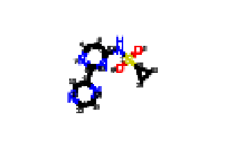 O=S(=O)(Nc1ccnc(-c2cnccn2)n1)C1CC1